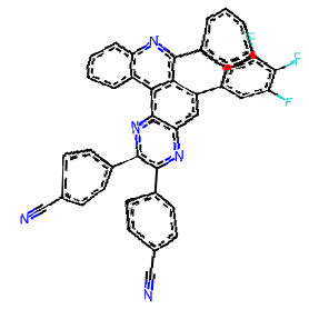 N#Cc1ccc(-c2nc3cc(-c4cc(F)c(F)c(F)c4)c4c(-c5ccccc5)nc5ccccc5c4c3nc2-c2ccc(C#N)cc2)cc1